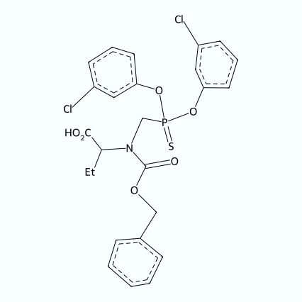 CCC(C(=O)O)N(CP(=S)(Oc1cccc(Cl)c1)Oc1cccc(Cl)c1)C(=O)OCc1ccccc1